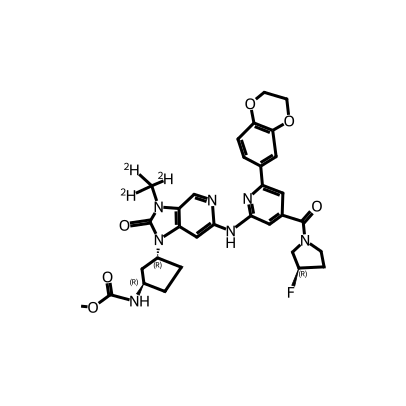 [2H]C([2H])([2H])n1c(=O)n([C@@H]2CC[C@@H](NC(=O)OC)C2)c2cc(Nc3cc(C(=O)N4CC[C@@H](F)C4)cc(-c4ccc5c(c4)OCCO5)n3)ncc21